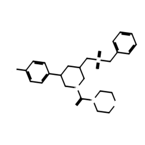 O=C(N1CCOCC1)N1CC(CS(=O)(=O)Cc2ccccc2)CC(c2ccc(C(F)(F)F)cc2)C1